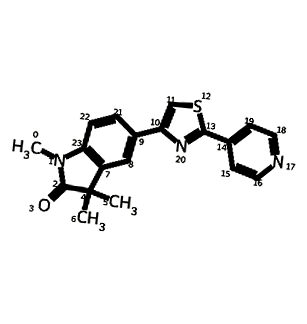 CN1C(=O)C(C)(C)c2cc(-c3csc(-c4ccncc4)n3)ccc21